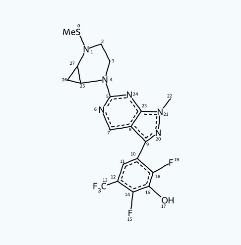 CSN1CCN(c2ncc3c(-c4cc(C(F)(F)F)c(F)c(O)c4F)nn(C)c3n2)C2CC21